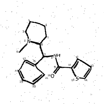 CN1CCCCC1C(NC(=O)c1cccs1)c1ccccc1